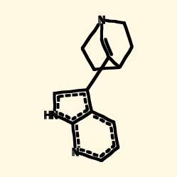 C1=C(c2c[nH]c3ncccc23)C2CCN1CC2